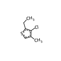 CCc1scc(C)c1Cl